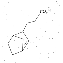 O=C(O)CCC1C=C2CCC1C2